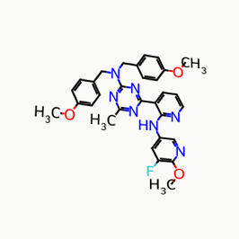 COc1ccc(CN(Cc2ccc(OC)cc2)c2nc(C)nc(-c3cccnc3Nc3cnc(OC)c(F)c3)n2)cc1